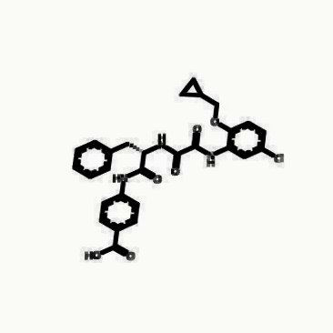 O=C(Nc1cc(Cl)ccc1OCC1CC1)C(=O)N[C@@H](Cc1ccccc1)C(=O)Nc1ccc(C(=O)O)cc1